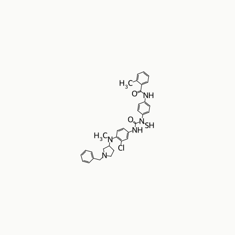 Cc1ccccc1C(=O)Nc1ccc(N(S)C(=O)Nc2ccc(N(C)C3CCN(Cc4ccccc4)C3)c(Cl)c2)cc1